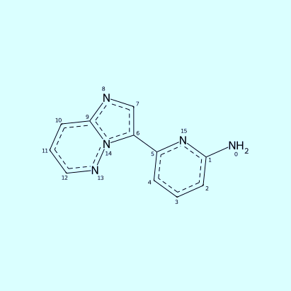 Nc1cccc(-c2cnc3cccnn23)n1